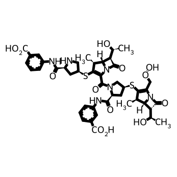 C[C@@H](O)[C@H]1C(=O)N2C(COO)=C(S[C@H]3C[C@@H](C(=O)Nc4cccc(C(=O)O)c4)N(C(=O)C4=C(S[C@@H]5CN[C@H](C(=O)Nc6cccc(C(=O)O)c6)C5)[C@H](C)[C@@H]5[C@@H]([C@@H](C)O)C(=O)N45)C3)[C@H](C)[C@H]12